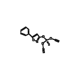 C#COP(=S)(OC#C)Oc1cc(-c2ccccc2)on1